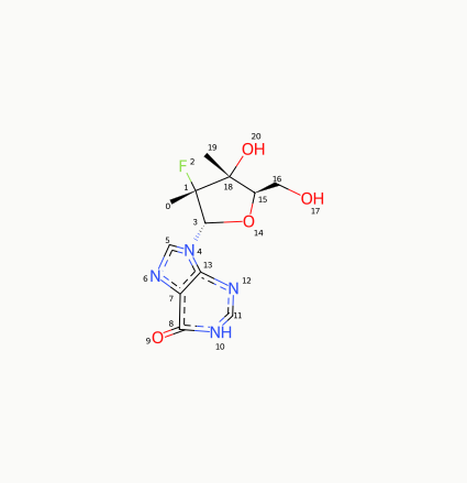 C[C@]1(F)[C@@H](n2cnc3c(=O)[nH]cnc32)O[C@H](CO)[C@@]1(C)O